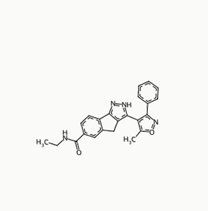 CCNC(=O)c1ccc2c(c1)Cc1c-2n[nH]c1-c1c(-c2ccccc2)noc1C